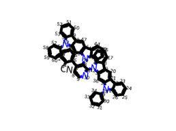 N#Cc1ccccc1-c1ccnc(-n2c3ccccc3c3cc4c5ccccc5n(-c5ccccc5)c4cc32)c1-n1c2ccccc2c2cc3c4ccccc4n(-c4ccccc4)c3cc21